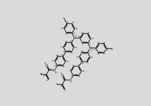 C=C(C)C(=O)Oc1ccc(-c2ccc(N(c3ccc(C)cc3)c3cccc(N(c4ccc(C)cc4)c4ccc(-c5ccc(OC(=O)C(=C)C)cc5)cc4)c3)cc2)cc1